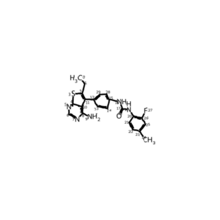 CCc1sc2ncnc(N)c2c1-c1ccc(NC(=O)Nc2ccc(C)cc2F)cc1